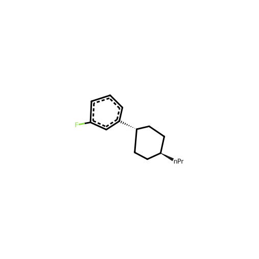 CCC[C@H]1CC[C@H](c2cccc(F)c2)CC1